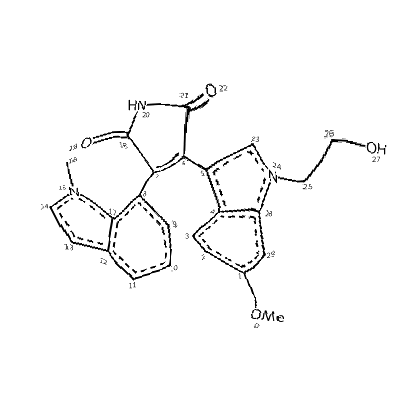 COc1ccc2c(C3=C(c4cccc5ccn(C)c45)C(=O)NC3=O)cn(CCO)c2c1